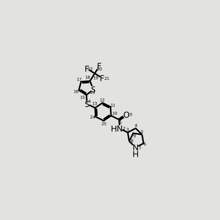 O=C(NC1CC2CNC1C2)c1ccc(Sc2ccc(C(F)(F)F)s2)cc1